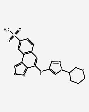 CS(=O)(=O)c1ccc2nc(Nc3cnn(C4CCCOC4)c3)c3n[nH]cc3c2c1